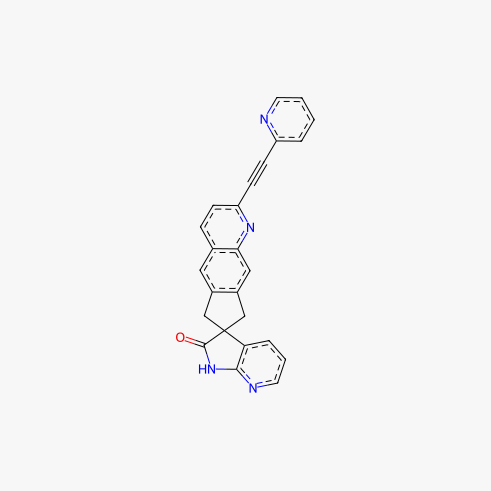 O=C1Nc2ncccc2C12Cc1cc3ccc(C#Cc4ccccn4)nc3cc1C2